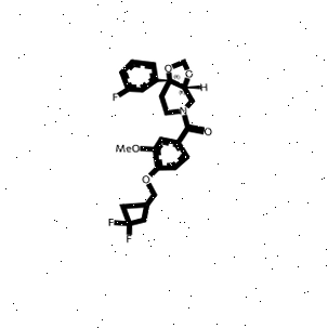 COc1cc(C(=O)N2CC[C@]3(c4cccc(F)c4)OCO[C@@H]3C2)ccc1OCC1CC(F)(F)C1